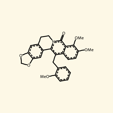 COc1ccccc1Cc1c2n(c(=O)c3c(OC)c(OC)ccc13)CCc1cc3c(cc1-2)OCO3